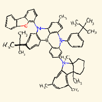 Cc1cc2c3c(c1)N(c1cccc4c1oc1ccccc14)c1cc(C(C)(C)C)ccc1B3c1ccc(N3c4cc(C)cc(C)c4C4(C)CCCCC34C)cc1N2c1cccc(C(C)(C)C)c1